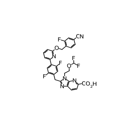 N#Cc1ccc(COc2cccc(-c3cc(F)c(Cc4nc5ccc(C(=O)O)nc5n4CCOC(F)F)cc3F)n2)c(F)c1